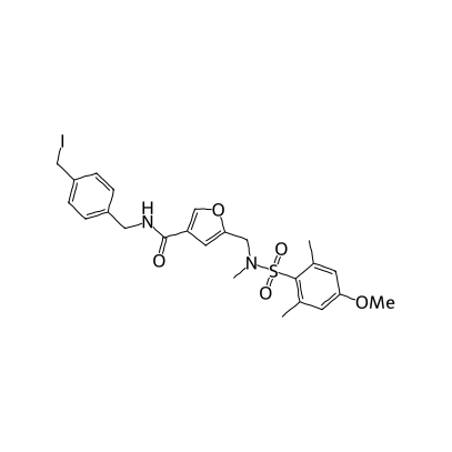 COc1cc(C)c(S(=O)(=O)N(C)Cc2cc(C(=O)NCc3ccc(CI)cc3)co2)c(C)c1